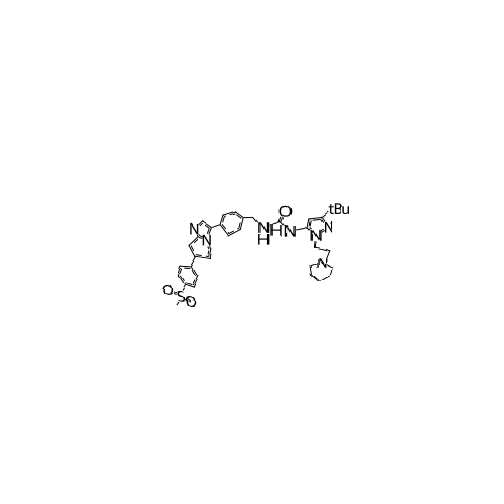 CC(C)(C)c1cc(NC(=O)NCc2ccc(-c3cnc4cc(-c5ccc(S(C)(=O)=O)cc5)ccn34)cc2)n(CCN2CCCCC2)n1